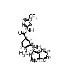 Cc1ccc(C(=O)Nc2nnc(C(F)(F)F)s2)cc1Nc1ncnc2cncnc12